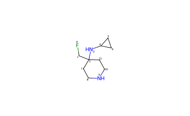 FCC1(NC2CC2)CCNCC1